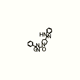 O=C(c1noc(-c2ccccc2)n1)N1CCC(c2nc3ccccc3[nH]2)CC1